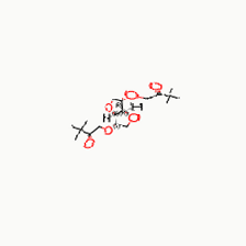 CC(C)(C)C(=O)CO[C@H]1CO[C@H]2[C@@H]1OC[C@H]2OCC(=O)C(C)(C)C